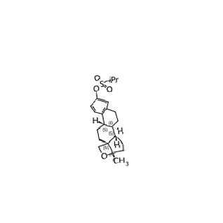 CC(C)S(=O)(=O)Oc1ccc2c(c1)CC[C@@H]1[C@@H]2CC[C@]23CO[C@@]2(C)CC[C@@H]13